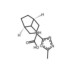 Cc1nnc(N2C[C@H]3CC[C@@H](C2)C3NC(=O)O)o1